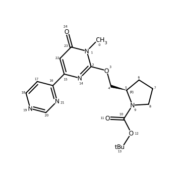 Cn1c(OC[C@H]2CCCN2C(=O)OC(C)(C)C)nc(-c2ccncn2)cc1=O